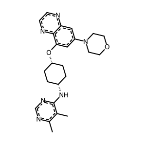 Cc1ncnc(N[C@H]2CC[C@@H](Oc3cc(N4CCOCC4)cc4nccnc34)CC2)c1C